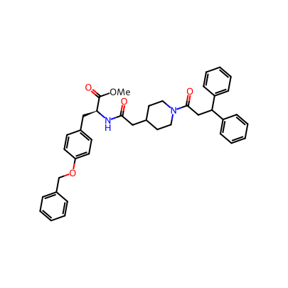 COC(=O)[C@H](Cc1ccc(OCc2ccccc2)cc1)NC(=O)CC1CCN(C(=O)CC(c2ccccc2)c2ccccc2)CC1